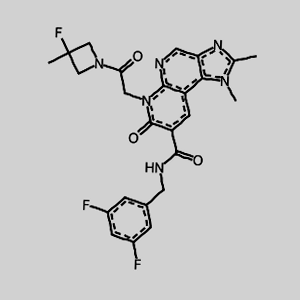 Cc1nc2cnc3c(cc(C(=O)NCc4cc(F)cc(F)c4)c(=O)n3CC(=O)N3CC(C)(F)C3)c2n1C